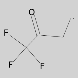 [CH2]CC(=O)C(F)(F)F